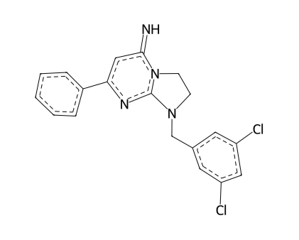 N=c1cc(-c2ccccc2)nc2n1CCN2Cc1cc(Cl)cc(Cl)c1